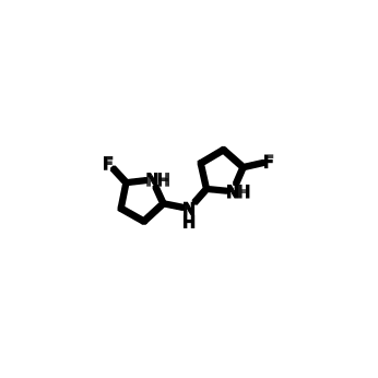 FC1CCC(NC2CCC(F)N2)N1